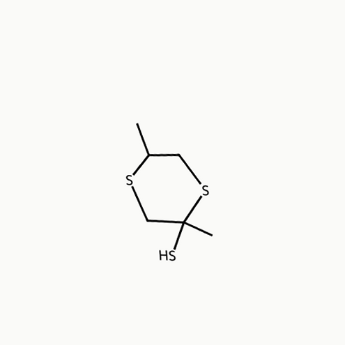 CC1CSC(C)(S)CS1